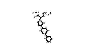 CNC(=O)C(CC(=O)O)n1ccc(-c2ccc(-c3ccncc3)cc2)c1